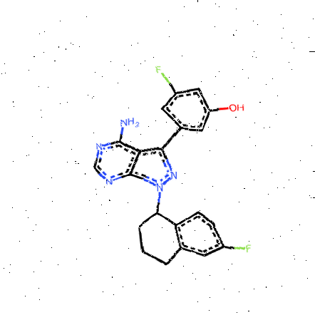 Nc1ncnc2c1c(-c1cc(O)cc(F)c1)nn2C1CCCc2cc(F)ccc21